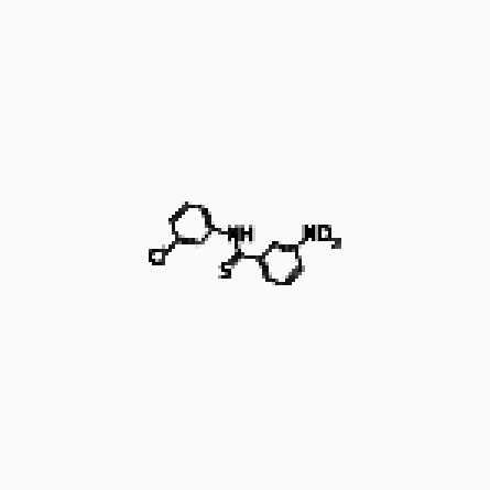 O=[N+]([O-])c1cccc(C(=S)Nc2cccc(Cl)c2)c1